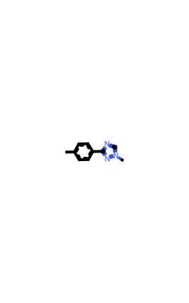 Cc1ccc(-c2ncn(C)n2)cc1